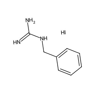 I.N=C(N)NCc1ccccc1